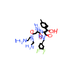 Cc1ccc([C@@H](O)[C@H](NC(=O)[C@@H](N)CC(=O)N(CCN)CCN)C(=O)NCc2ccc(F)c(F)c2)cc1